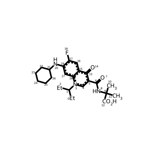 CCC(CC)n1cc(C(=O)NC(C)(C)C(=O)O)c(=O)c2cc(F)c(NC3CCCCC3)cc21